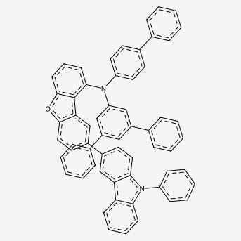 c1ccc(-c2ccc(N(c3cc(-c4ccccc4)cc(-c4ccccc4)c3)c3cccc4oc5ccc(-c6ccc7c(c6)c6ccccc6n7-c6ccccc6)cc5c34)cc2)cc1